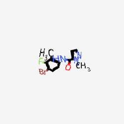 Cc1c(NC(=O)c2ccnn2C)ccc(Br)c1F